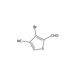 N#Cc1csc(C=O)c1Br